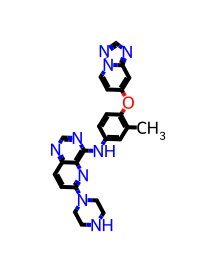 Cc1cc(Nc2ncnc3ccc(N4CCNCC4)nc23)ccc1Oc1ccn2ncnc2c1